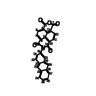 O=C1OC(=O)c2ccc3c4c(ccc1c24)C(=O)N(c1ccc2cc4ccccc4cc2c1)C3=O